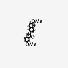 COc1ccc2c(c1)C(=O)N(c1ccc3nc(OC)ccc3c1)C2